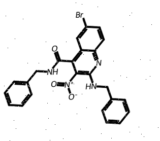 O=C(NCc1ccccc1)c1c([N+](=O)[O-])c(NCc2ccccc2)nc2ccc(Br)cc12